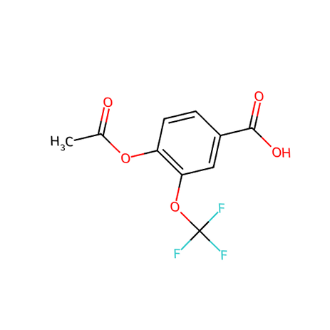 CC(=O)Oc1ccc(C(=O)O)cc1OC(F)(F)F